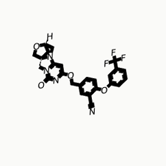 N#Cc1cc(COc2cc3n(c(=O)n2)C[C@@]24CO[C@@H](CN32)C4)ccc1Oc1cccc(C(F)(F)F)c1